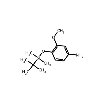 COc1cc(N)ccc1O[Si](C)(C)C(C)(C)C